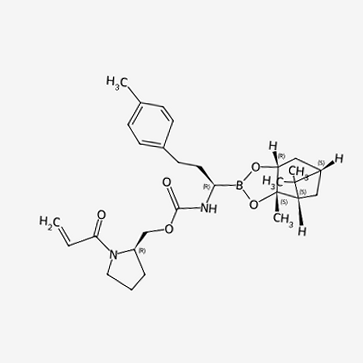 C=CC(=O)N1CCC[C@@H]1COC(=O)N[C@@H](CCc1ccc(C)cc1)B1O[C@@H]2C[C@@H]3C[C@@H](C3(C)C)[C@]2(C)O1